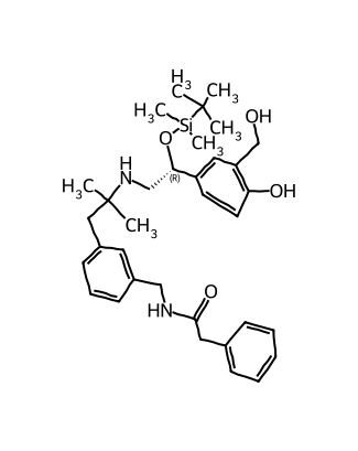 CC(C)(Cc1cccc(CNC(=O)Cc2ccccc2)c1)NC[C@H](O[Si](C)(C)C(C)(C)C)c1ccc(O)c(CO)c1